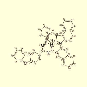 c1ccc(-c2nc(-c3ccc4oc5ccccc5c4c3)nc(-c3cc4ccccc4cc3-n3c4ccccc4c4c5ccccc5ccc43)n2)cc1